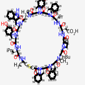 CCCC[C@H]1C(=O)N2CC[C@H]2C(=O)N[C@@H](CC(=O)O)C(=O)N[C@@H](C(C)C)C(=O)N(C)[C@@H](Cc2ccccc2)C(=O)N[C@@H](Cc2ccc(O)cc2)C(=O)N(C)CC(=O)N[C@@H](Cc2c[nH]c3ccccc23)C(=O)N[C@@H](Cc2ccc(O)cc2)C(=O)N[C@@H](CC(C)C)C(=O)N[C@H](C)CSCC(=O)N[C@@H](Cc2ccccc2)C(=O)N(C)[C@@H](Cc2ccccc2)C(=O)N1C